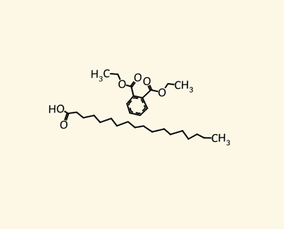 CCCCCCCCCCCCCCCCCC(=O)O.CCOC(=O)c1ccccc1C(=O)OCC